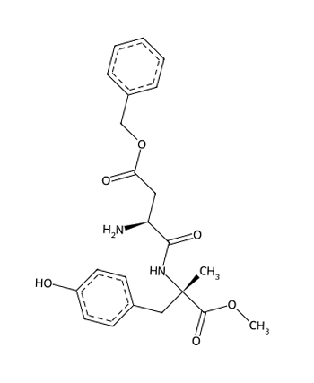 COC(=O)[C@](C)(Cc1ccc(O)cc1)NC(=O)[C@@H](N)CC(=O)OCc1ccccc1